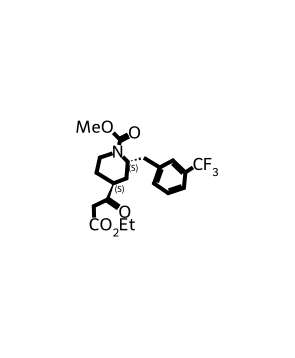 CCOC(=O)CC(=O)[C@H]1CCN(C(=O)OC)[C@H](Cc2cccc(C(F)(F)F)c2)C1